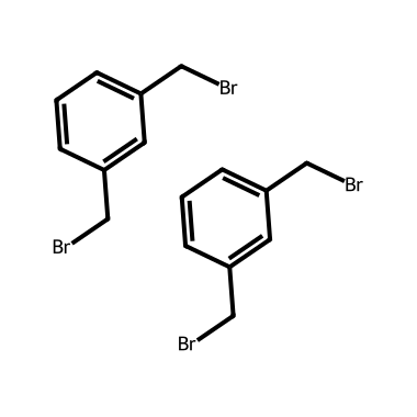 BrCc1cccc(CBr)c1.BrCc1cccc(CBr)c1